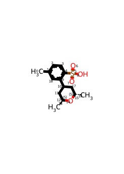 Cc1ccc(S(=O)(=O)O)c(C2C[C@H](C)O[C@@H](C)C2)c1